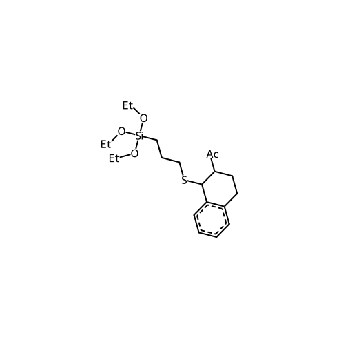 CCO[Si](CCCSC1c2ccccc2CCC1C(C)=O)(OCC)OCC